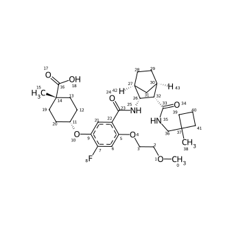 COCCOc1cc(F)c(O[C@H]2CC[C@@](C)(C(=O)O)CC2)cc1C(=O)N[C@@H]1[C@H]2CC[C@H](C2)[C@@H]1C(=O)NCC1(C)CCC1